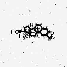 C#C[C@]1(O)CC[C@H]2[C@@H]3CCC4=Cc5oncc5CC4(C)[C@H]3CCC21C